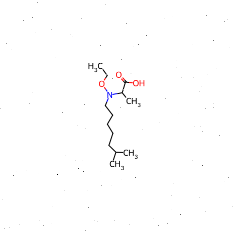 CCON(CCCCCC(C)C)C(C)C(=O)O